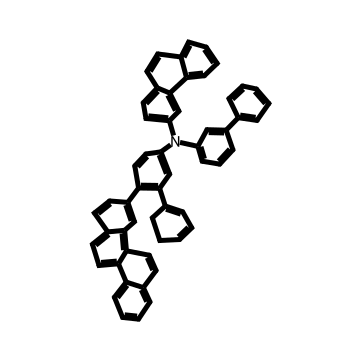 C1=CCCC(c2cc(N(c3cccc(-c4ccccc4)c3)c3ccc4ccc5ccccc5c4c3)ccc2-c2ccc3ccc4c5ccccc5ccc4c3c2)=C1